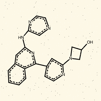 OC1CN(c2cc(-c3nc(Nc4cnccn4)cc4ccccc34)ccn2)C1